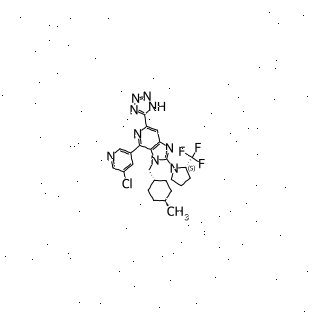 C[C@H]1CC[C@H](Cn2c(N3CCC[C@H]3C(F)(F)F)nc3cc(-c4nnn[nH]4)nc(-c4cncc(Cl)c4)c32)CC1